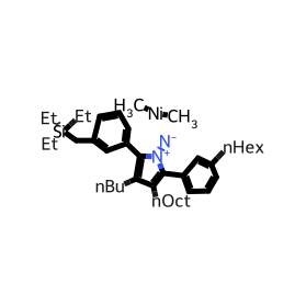 CCCCCCCCC1=C(c2cccc(CCCCCC)c2)[N+](=[N-])C(c2cccc(C[Si](CC)(CC)CC)c2)=C1CCCC.[CH3][Ni][CH3]